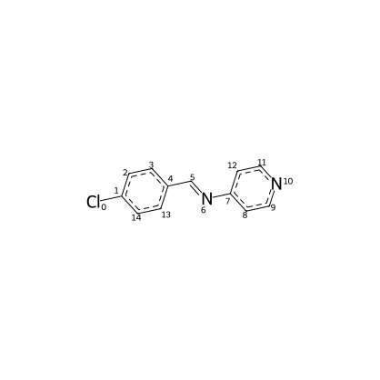 Clc1ccc(C=Nc2ccncc2)cc1